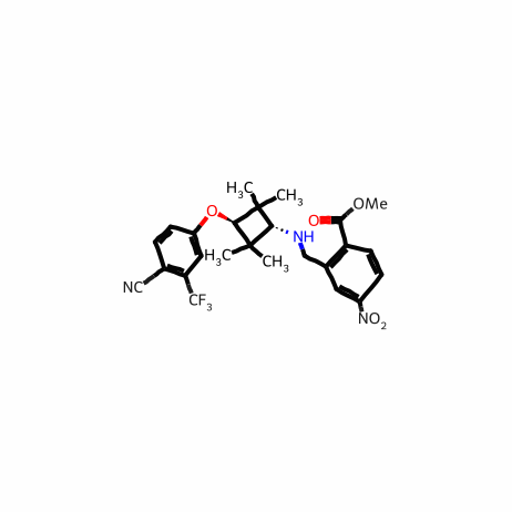 COC(=O)c1ccc([N+](=O)[O-])cc1CN[C@H]1C(C)(C)[C@H](Oc2ccc(C#N)c(C(F)(F)F)c2)C1(C)C